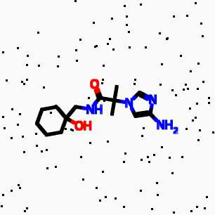 CC(C)(C(=O)NCC1(O)CCCCC1)n1cnc(N)c1